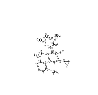 Cc1cccc(C)c1-c1cc(C2CC2)c(F)c([C@H](CC(=O)O)N[S@+]([O-])C(C)(C)C)c1F